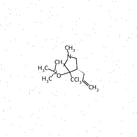 C=CC[C@H]1CN(C)CC1(O[Si](C)(C)C)C(Cl)(Cl)Cl